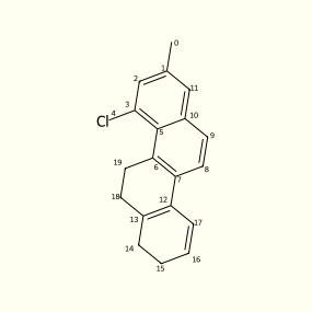 Cc1cc(Cl)c2c3c(ccc2c1)C1=C(CCC=C1)CC3